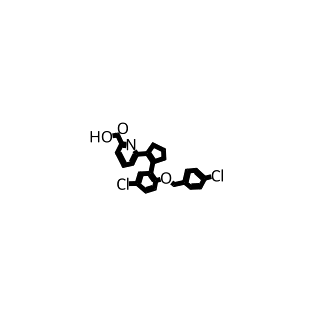 O=C(O)c1cccc(C2=C(c3cc(Cl)ccc3OCc3ccc(Cl)cc3)CCC2)n1